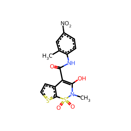 Cc1cc([N+](=O)[O-])ccc1NC(=O)C1=C(O)N(C)S(=O)(=O)c2sccc21